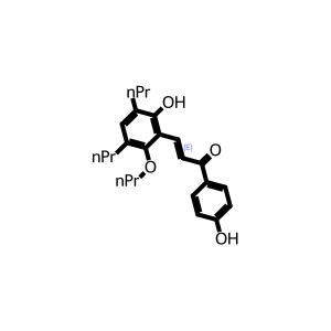 CCCOc1c(CCC)cc(CCC)c(O)c1/C=C/C(=O)c1ccc(O)cc1